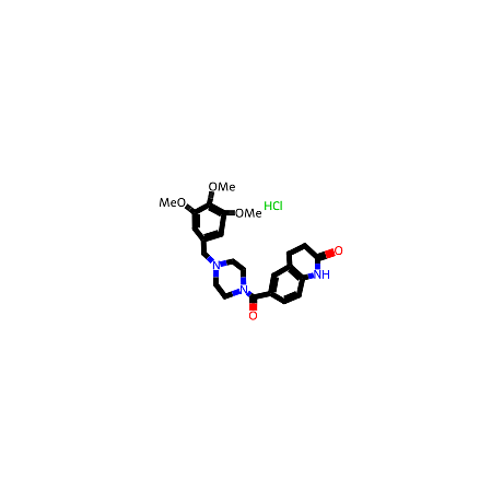 COc1cc(CN2CCN(C(=O)c3ccc4c(c3)CCC(=O)N4)CC2)cc(OC)c1OC.Cl